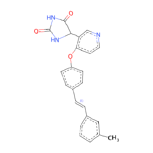 Cc1cccc(/C=C/c2ccc(Oc3ccncc3C3NC(=O)NC3=O)cc2)c1